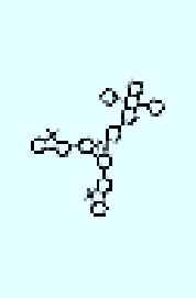 CC1(C)c2ccccc2-c2ccc(-c3ccc4c(c3)c3cc(-c5ccc6c(c5)C(C)(C)c5ccccc5-6)ccc3n4-c3ccc(-c4ccc5c(-c6ccccc6)c6ccccc6c(-c6ccccc6)c5c4)cc3)cc21